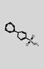 NS(=O)(=O)C1=CCC(c2ccccc2)C=C1